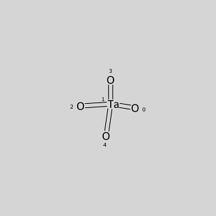 [O]=[Ta](=[O])(=[O])=[O]